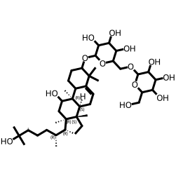 C[C@H](CC[CH]C(C)(C)O)[C@H]1CC[C@@]2(C)[C@@H]3CC=C4C(CCC(OC5OC(COC6OC(CO)C(O)C(O)C6O)C(O)C(O)C5O)C4(C)C)[C@]3(C)C(O)C[C@]12C